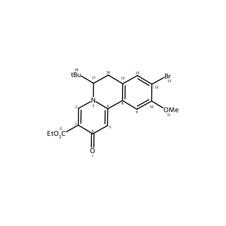 CCOC(=O)c1cn2c(cc1=O)-c1cc(OC)c(Br)cc1CC2C(C)(C)C